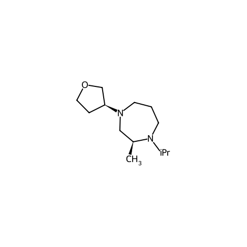 CC(C)N1CCCN([C@H]2CCOC2)C[C@@H]1C